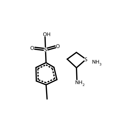 Cc1ccc(S(=O)(=O)O)cc1.N.NC1CCS1